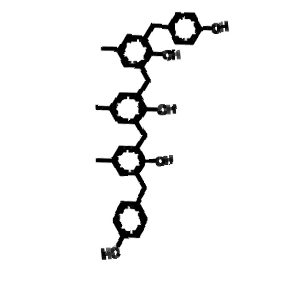 Cc1cc(Cc2ccc(O)cc2)c(O)c(Cc2cc(C)cc(Cc3cc(C)cc(Cc4ccc(O)cc4)c3O)c2O)c1